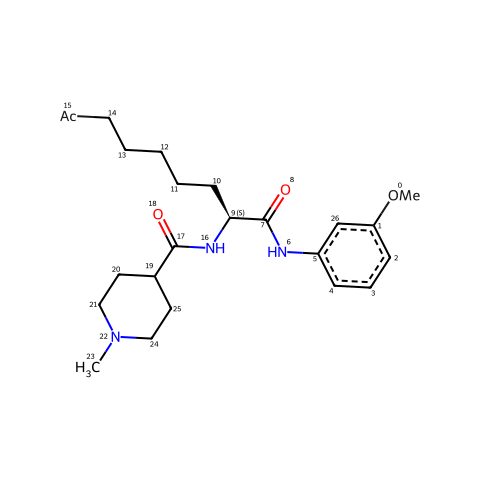 COc1cccc(NC(=O)[C@H](CCCCCC(C)=O)NC(=O)C2CCN(C)CC2)c1